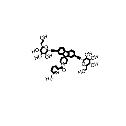 Cc1cccc(C(=O)N2CCC3(CC2)c2cc(C#C[C@H]4O[C@H](CO)[C@@H](O)[C@H](O)[C@@H]4O)ccc2-c2ccc(C#C[C@H]4O[C@H](CCO)[C@@H](O)[C@H](O)[C@@H]4O)cc23)n1